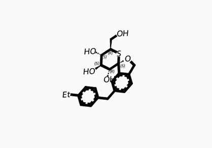 CCc1ccc(Cc2ccc3c(c2)[C@]2(OC3)S[C@H](CO)[C@@H](O)[C@H](O)[C@H]2O)cc1